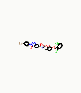 NN(c1ccc(Br)cc1)C(=O)[C@H]1CC[C@H](C(=O)N[C@@H](Cc2ccc(OCc3c(Cl)cccc3Cl)cc2)C(=O)O)CC1